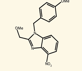 COCc1nc2c([N+](=O)[O-])cccc2n1Cc1ccc(OC)cc1